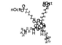 CCCCCCCCOC(=O)CCCCCCCOC(=O)C(OC(=O)NCCCN1CCCC1)C(OC(=O)NCCCN1CCCC1)C(=O)OCCCCCCCC(=O)OCCCCCCCC